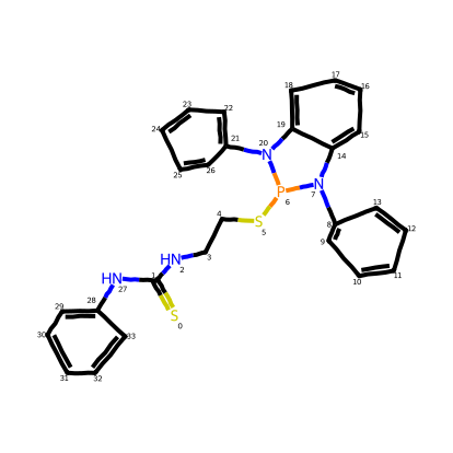 S=C(NCCSP1N(c2ccccc2)c2ccccc2N1c1ccccc1)Nc1ccccc1